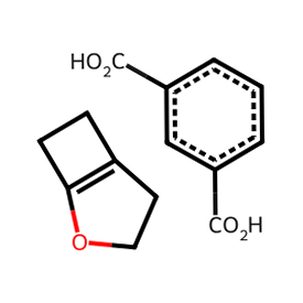 C1CC2=C(CC2)O1.O=C(O)c1cccc(C(=O)O)c1